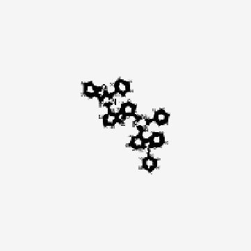 c1ccc(-c2nc(-c3cccc4c3sc3cccc(-c5nc(-c6ccccc6)c6oc7ccccc7c6n5)c34)nc(-c3cccc4c3c3ccccc3n4-c3ccccc3)n2)cc1